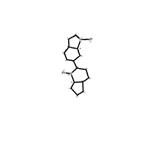 CC(C)N1CCC2CCC(C3CCC4CCCC4N3C(C)C)CC21